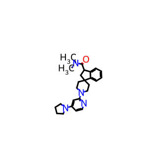 CN(C)C(=O)C1CC2(CCN(c3cc(N4CCCC4)ccn3)CC2)c2ccccc21